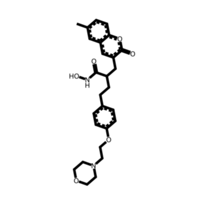 Cc1ccc2oc(=O)c(CC(CCc3ccc(OCCN4CCOCC4)cc3)C(=O)NO)cc2c1